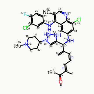 C=C(/C=C\C=C(/C)C(=O)C(C)(C)C)[C@H](Nc1cc(Cl)c2ncc(C#N)c(Nc3ccc(F)c(Cl)c3)c2c1)C1=CN(C2CCN(C(C)(C)C)CC2)NN1